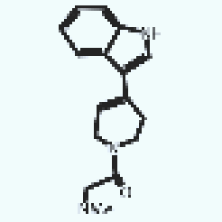 CNCC(=O)N1CC=C(c2c[nH]c3ccccc23)CC1